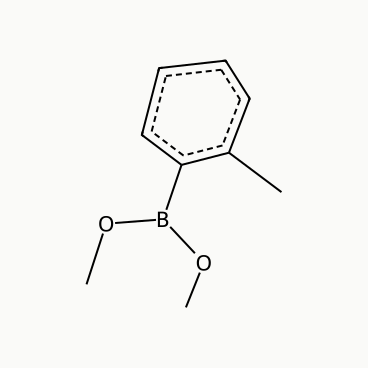 COB(OC)c1ccccc1C